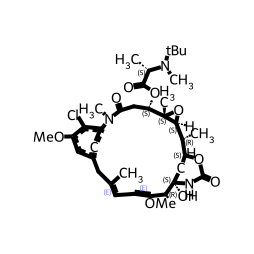 COc1cc2cc(c1Cl)N(C)C(=O)C[C@H](OC(=O)[C@H](C)N(C)C(C)(C)C)[C@]1(C)O[C@H]1[C@H](C)[C@@H]1C[C@@](O)(NC(=O)O1)[C@H](OC)/C=C/C=C(\C)C2